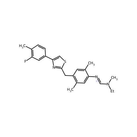 CCN(C)/C=N/c1cc(C)c(Cc2nc(-c3ccc(C)c(F)c3)cs2)cc1C